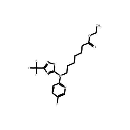 CCOC(=O)CCCCCCN(c1ccc(F)cn1)c1nc(C(F)(F)F)ns1